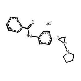 Cl.O=C(Nc1ccc([C@@H]2C[C@H]2N2CCCC2)cc1)c1ccccc1